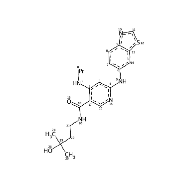 CC(C)Nc1cc(Nc2ccc3ncsc3c2)ncc1C(=O)NCCC(C)(C)O